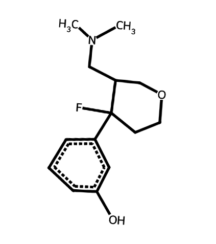 CN(C)CC1COCCC1(F)c1cccc(O)c1